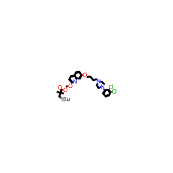 CC(C)(C)CC(C)(C)C(=O)OCOc1ccc2ccc(OCCCCN3CCN(c4cccc(Cl)c4Cl)CC3)cc2n1